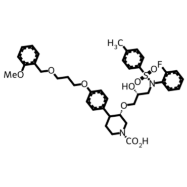 COc1ccccc1COCCCOc1ccc(C2CCN(C(=O)O)C[C@H]2OC[C@H](O)CN(c2ccccc2F)S(=O)(=O)c2ccc(C)cc2)cc1